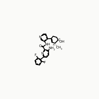 C[C@@H]1C=C(c2ccncc2NC(=O)c2nc(-c3c(F)cccc3F)ccc2N)CC[C@@H]1O